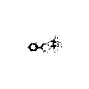 CC(CB1OC(C)(C)C(C)(C)O1)c1ccccc1